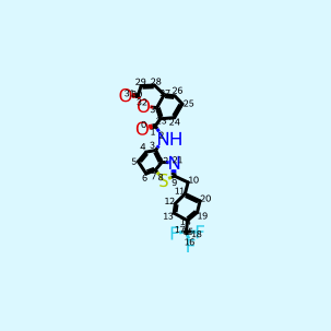 O=C(Nc1cccc2sc(Cc3ccc(C(F)(F)F)cc3)nc12)c1cccc2ccc(=O)oc12